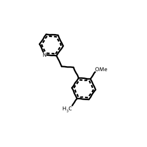 COc1ccc(C)cc1CCc1ccccn1